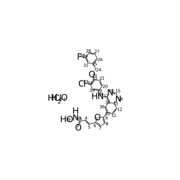 Cl.O.O=C(C=Cc1ccc(-c2ccc3ncnc(Nc4ccc(OCc5cccc(F)c5)c(Cl)c4)c3c2)o1)NO